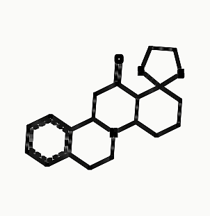 O=C1CC2c3ccccc3CCN2C2CCCC3(SCCS3)C12